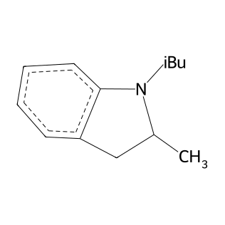 CCC(C)N1c2ccccc2CC1C